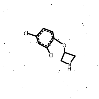 Clc1ccc(OC2CNC2)c(Cl)c1